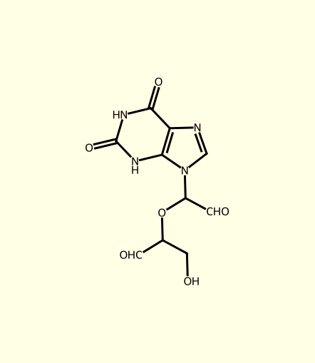 O=CC(CO)OC(C=O)n1cnc2c(=O)[nH]c(=O)[nH]c21